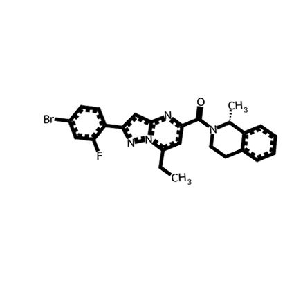 CCc1cc(C(=O)N2CCc3ccccc3[C@H]2C)nc2cc(-c3ccc(Br)cc3F)nn12